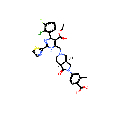 CCOC(=O)C1=C(CN2CC[C@@H]3C(=O)N(c4ccc(C(=O)O)c(C)c4)C[C@@H]3C2)NC(c2nccs2)=NC1c1cccc(F)c1Cl